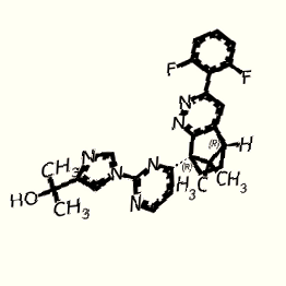 CC(C)(O)c1cn(-c2nccc([C@]34CC[C@@H](c5cc(-c6c(F)cccc6F)nnc53)C4(C)C)n2)cn1